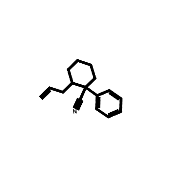 C=CCC1CCCCC1(C#N)c1ccccc1